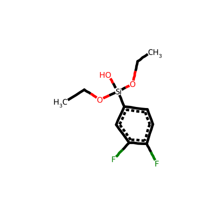 CCO[Si](O)(OCC)c1ccc(F)c(F)c1